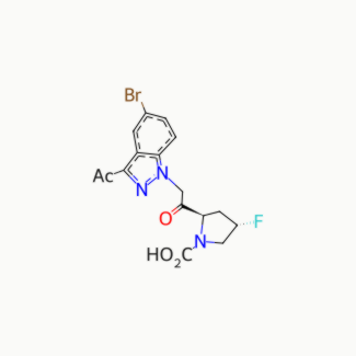 CC(=O)c1nn(CC(=O)[C@H]2C[C@H](F)CN2C(=O)O)c2ccc(Br)cc12